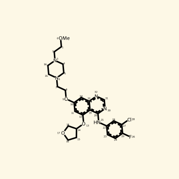 COCCN1CCN(CCOc2cc(OC3CCOC3)c3c(Nc4ccc(F)c(Cl)c4)ncnc3c2)CC1